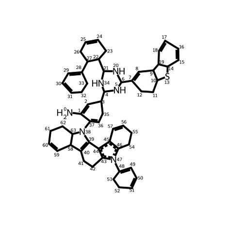 NC1=CC(C2NC(C3=CC4C(CC3)SC3C=CC=CC34)NC(C3CC=CCC3C3=CC=CCC3)N2)CC=C1N1C2=C(CCc3c2c2c(n3C3=CC=CCC3)CCC=C2)C2C=CCCC21